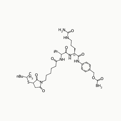 BC(=O)OCc1ccc(NC(=O)[C@H](CCCNC(N)=O)NC(=O)C(NC(=O)CCCCCN2C(=O)CC(SC(C)CCCC)C2=O)C(C)C)cc1